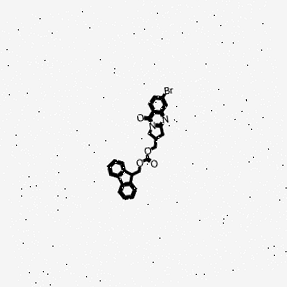 O=C(OCC1Cc2nc3cc(Br)ccc3c(=O)n2C1)OCC1c2ccccc2-c2ccccc21